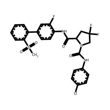 CS(=O)(=O)c1ccccc1-c1ccc(NC(=O)C2CC(F)(F)CN2C(=O)Nc2ccc(Cl)cc2)c(F)c1